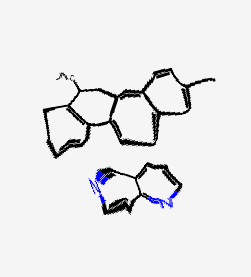 CC(=O)C1Cc2c(ccc3cc(C)ccc23)C2=C1CCC=C2.c1cnc2ccncc2c1